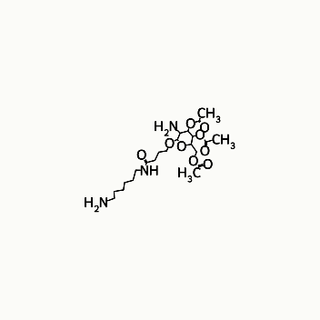 CC(=O)OCC1OC(OCCCC(=O)NCCCCCCN)C(N)C(OC(C)=O)C1OC(C)=O